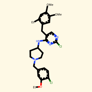 CCOc1cc(CN2CCC(Nc3nc(Cl)ncc3Cc3cc(OC)c(OC)cc3CC)CC2)ccc1Cl